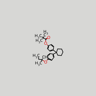 CCC(C)(C)Oc1ccc(C2(c3ccc(OC(=O)C(C)(C)C)cc3)CCCCC2)cc1